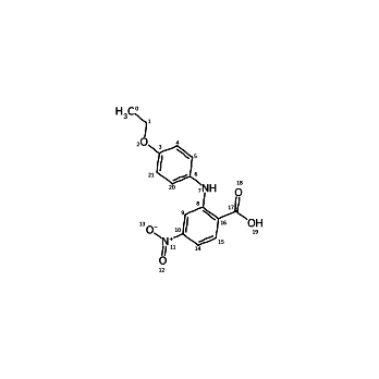 CCOc1ccc(Nc2cc([N+](=O)[O-])ccc2C(=O)O)cc1